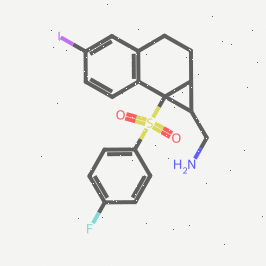 NCC1C2CCc3cc(I)ccc3C12S(=O)(=O)c1ccc(F)cc1